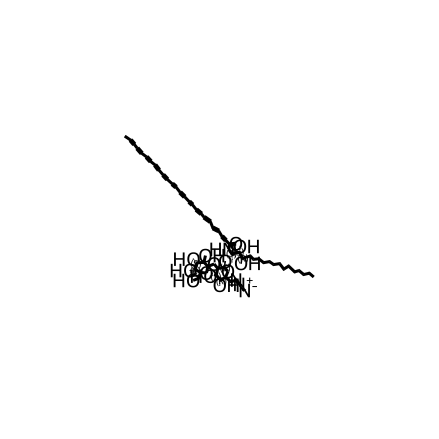 CC#CC#CC#CC#CC#CC#CC#CC#CC#CC#CC#CC#CC(=O)N[C@@H](CO[C@H]1OC(CN=[N+]=[N-])[C@H](O)[C@H](O)C1OC1OC(CO)[C@H](O)[C@H](O)C1O)[C@H](O)[C@H](O)CCCCCCCCCCCCCC